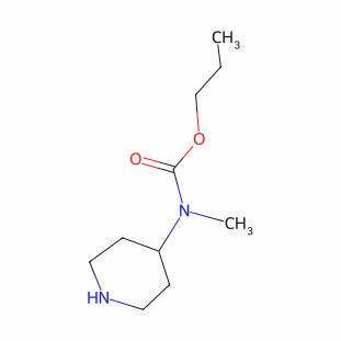 CCCOC(=O)N(C)C1CCNCC1